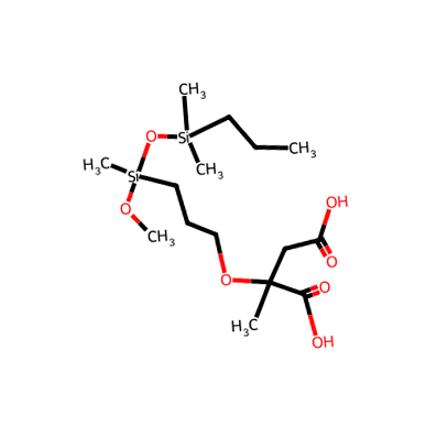 CCC[Si](C)(C)O[Si](C)(CCCOC(C)(CC(=O)O)C(=O)O)OC